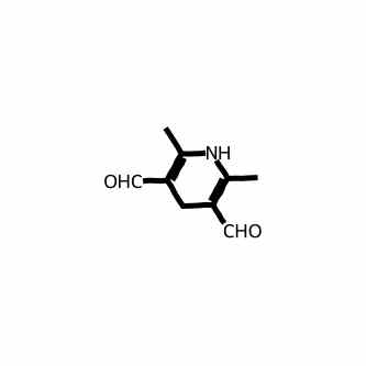 CC1=C(C=O)CC(C=O)=C(C)N1